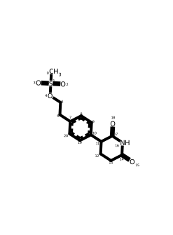 CS(=O)(=O)OCCc1ccc(C2CCC(=O)NC2=O)cc1